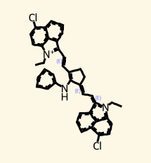 CCn1/c(=C/C=C2\CCC(/C=C/C3=[N+](CC)c4ccc(Cl)c5cccc3c45)=C2Nc2ccccc2)c2cccc3c(Cl)ccc1c32